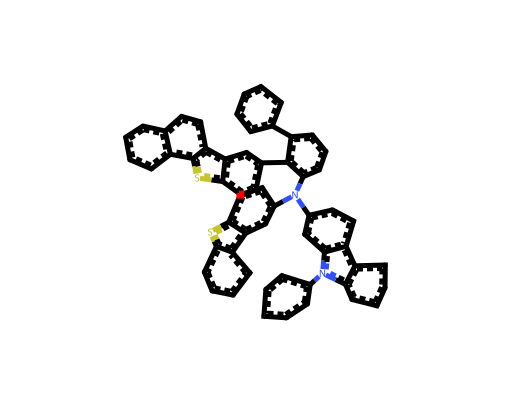 c1ccc(-c2cccc(N(c3ccc4sc5ccccc5c4c3)c3ccc4c5ccccc5n(-c5ccccc5)c4c3)c2-c2ccc3sc4c5ccccc5ccc4c3c2)cc1